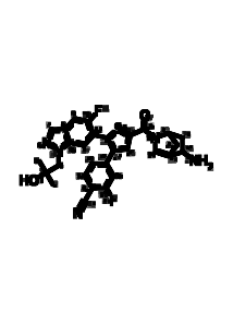 CC(C)(O)Cn1ncc2cc(F)c(-c3sc(C(=O)N4C=C5CC4CC5N)cc3-c3ccc(C#N)c(F)c3)cc21